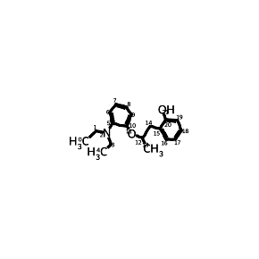 CCN(CC)c1ccccc1OC(C)Cc1ccccc1O